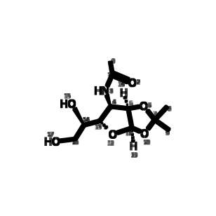 CC(=O)N[C@H]1[C@H]2OC(C)(C)O[C@H]2O[C@@H]1[C@H](O)CO